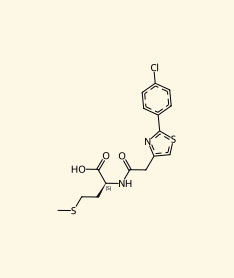 CSCC[C@H](NC(=O)Cc1csc(-c2ccc(Cl)cc2)n1)C(=O)O